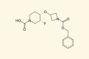 O=C(O)N1CC[C@H](OC2CN(C(=O)OCc3ccccc3)C2)[C@H](F)C1